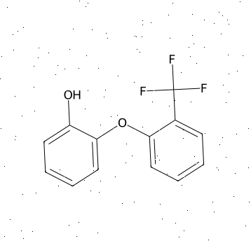 Oc1ccccc1Oc1ccccc1C(F)(F)F